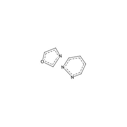 c1ccnnc1.c1cocn1